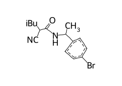 CCC(C)C(C#N)C(=O)NC(C)c1ccc(Br)cc1